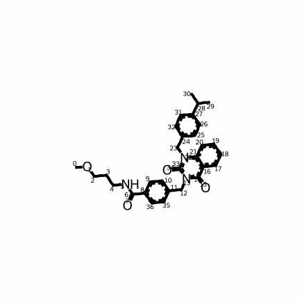 COCCCNC(=O)c1ccc(Cn2c(=O)c3ccccc3n(Cc3ccc(C(C)C)cc3)c2=O)cc1